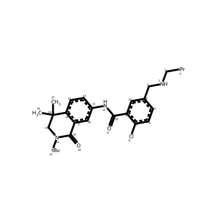 CC(C)CNCc1ccc(Cl)c(C(=O)Nc2ccc3c(c2)C(=O)N(C(C)(C)C)CC3(C)C)c1